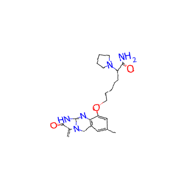 C=c1c(=O)[nH]c2n1Cc1cc(C)cc(OCCCCCC(C(N)=O)N3CCCC3)c1N=2